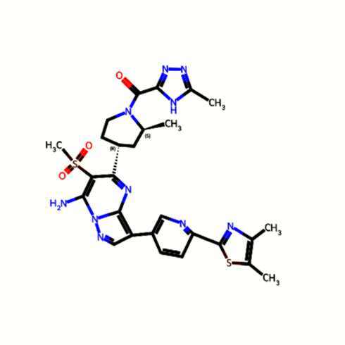 Cc1nnc(C(=O)N2CC[C@@H](c3nc4c(-c5ccc(-c6nc(C)c(C)s6)nc5)cnn4c(N)c3S(C)(=O)=O)C[C@@H]2C)[nH]1